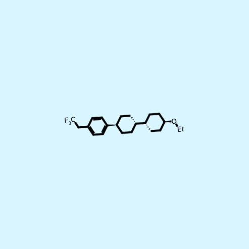 CCO[C@H]1CC[C@H]([C@H]2CC[C@H](c3ccc(CC(F)(F)F)cc3)CC2)CC1